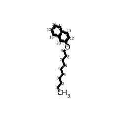 CCCCCCCCCCOc1ccc2ccccc2c1